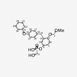 COCOc1ccc(OP(=O)(O)CO)cc1Cc1ccc(Oc2ccccc2)cc1